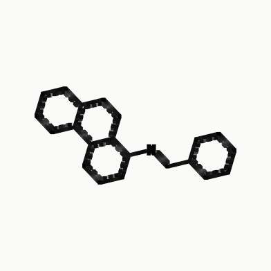 C(=Nc1cccc2c1ccc1ccccc12)c1ccccc1